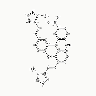 Cc1nnnn1N=Cc1ccc(O)c(C(c2cccc([N+](=O)[O-])c2)c2cc(C=Nn3nnnc3C)ccc2O)c1